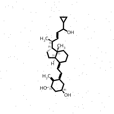 C=C1C(=CC=C2CCC[C@]3(C)[C@@H]2CC[C@@H]3[C@@H](C)C=CC(O)C2CC2)C[C@@H](O)C[C@@H]1O